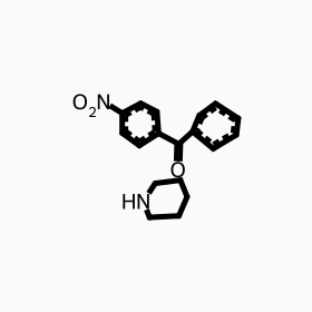 C1CCNCC1.O=C(c1ccccc1)c1ccc([N+](=O)[O-])cc1